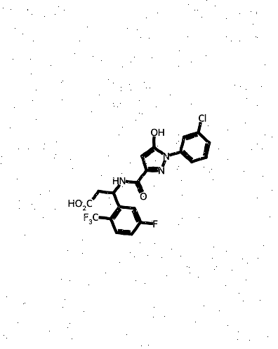 O=C(O)CC(NC(=O)c1cc(O)n(-c2cccc(Cl)c2)n1)c1cc(F)ccc1C(F)(F)F